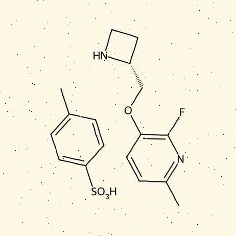 Cc1ccc(OC[C@H]2CCN2)c(F)n1.Cc1ccc(S(=O)(=O)O)cc1